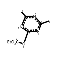 CCOC(=O)Oc1nc(C)nc(C)n1